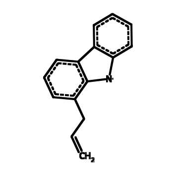 C=CCc1cccc2c1[N]c1ccccc1-2